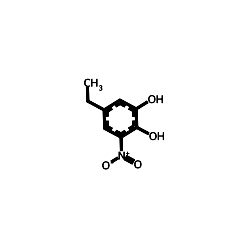 CCc1cc(O)c(O)c([N+](=O)[O-])c1